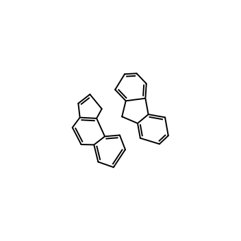 C1=Cc2ccc3ccccc3c2C1.c1ccc2c(c1)Cc1ccccc1-2